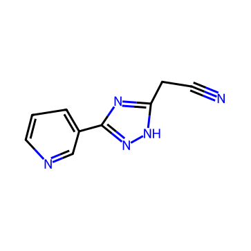 N#CCc1nc(-c2cccnc2)n[nH]1